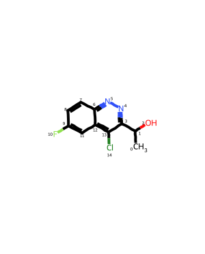 CC(O)c1nnc2ccc(F)cc2c1Cl